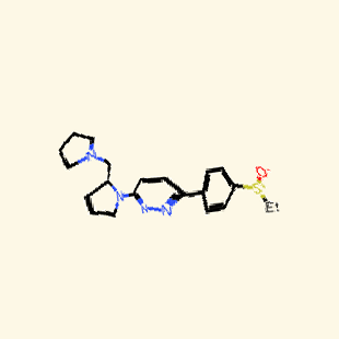 CC[S+]([O-])c1ccc(-c2ccc(N3CCC[C@H]3CN3CCCC3)nn2)cc1